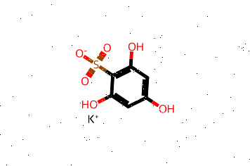 O=S(=O)([O-])c1c(O)cc(O)cc1O.[K+]